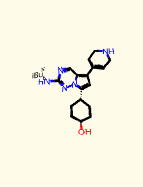 CC[C@H](C)Nc1ncc2c(C3=CCNCC3)cc([C@H]3CC[C@H](O)CC3)n2n1